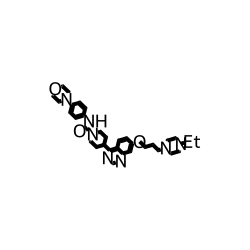 CCN1CCN(CCCOc2ccc3c(C4CCN(C(=O)Nc5ccc(N6CCOCC6)cc5)CC4)ncnc3c2)CC1